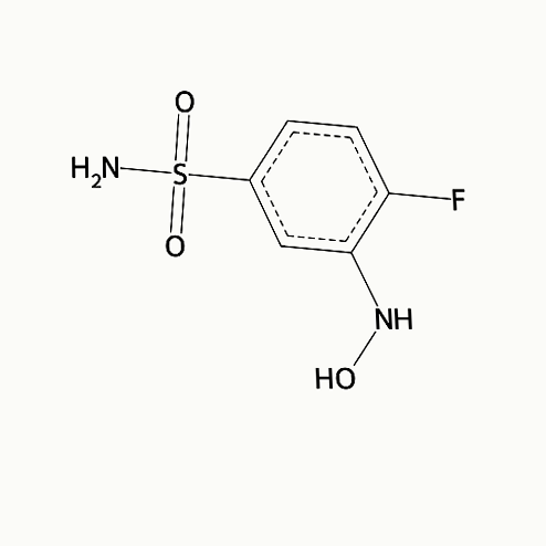 NS(=O)(=O)c1ccc(F)c(NO)c1